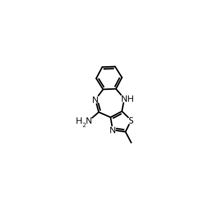 Cc1nc2c(s1)Nc1ccccc1N=C2N